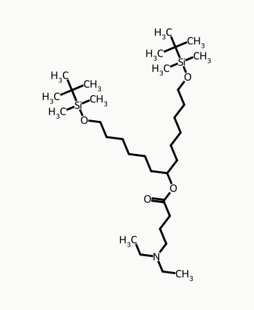 CCN(CC)CCCC(=O)OC(CCCCCCO[Si](C)(C)C(C)(C)C)CCCCCCO[Si](C)(C)C(C)(C)C